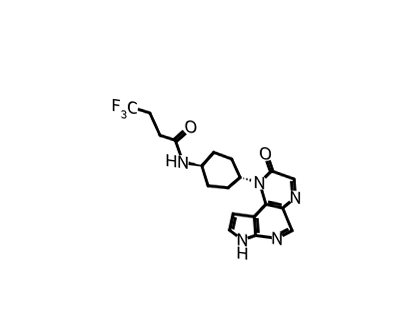 O=C(CCC(F)(F)F)N[C@H]1CC[C@H](n2c(=O)cnc3cnc4[nH]ccc4c32)CC1